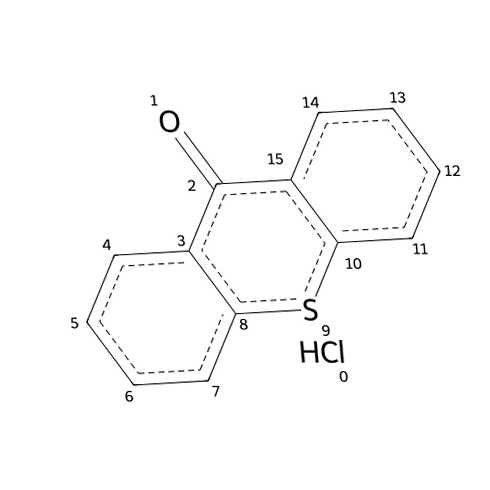 Cl.O=c1c2ccccc2sc2ccccc12